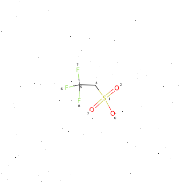 [O]S(=O)(=O)CC(F)(F)F